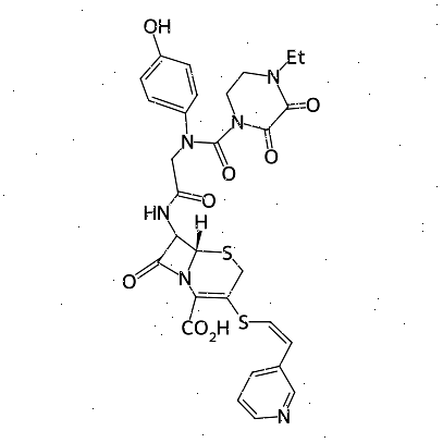 CCN1CCN(C(=O)N(CC(=O)NC2C(=O)N3C(C(=O)O)=C(S/C=C\c4cccnc4)CS[C@@H]23)c2ccc(O)cc2)C(=O)C1=O